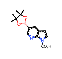 CC1(C)OB(c2cnc3c(ccn3C(=O)O)c2)OC1(C)C